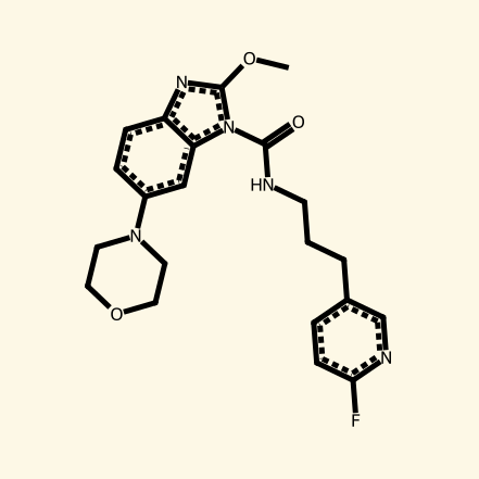 COc1nc2ccc(N3CCOCC3)cc2n1C(=O)NCCCc1ccc(F)nc1